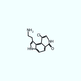 NCCc1c[nH]c2ccc3c(=O)[nH]cc(Cl)c3c12